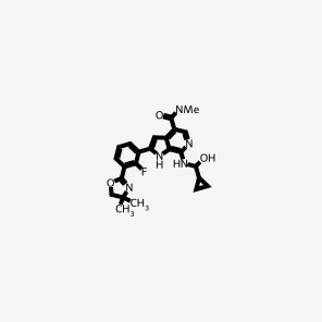 CNC(=O)c1cnc(NC(O)C2CC2)c2[nH]c(-c3cccc(C4=NC(C)(C)CO4)c3F)cc12